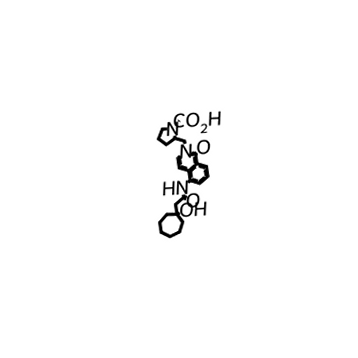 O=C(CC1(O)CCCCCC1)Nc1cccc2c(=O)n(CC3CCCN3C(=O)O)ccc12